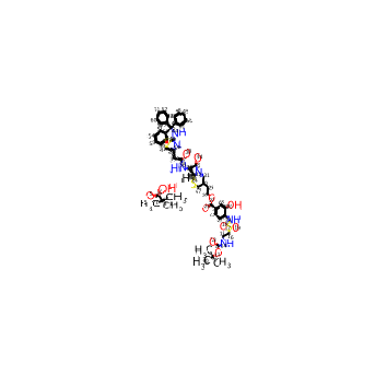 CC(C)(C)C(=O)O.CC(C)(C)OC(=O)NCCS(=O)(=O)Nc1ccc(C(=O)OCCC2=CN3C(=O)C(NC(=O)Cc4csc(NC(c5ccccc5)(c5ccccc5)c5ccccc5)n4)[C@@H]3SC2)cc1O